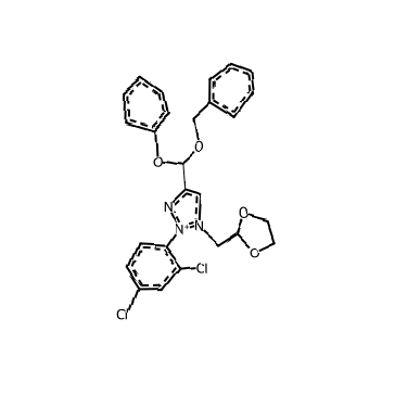 Clc1ccc(-[n+]2nc(C(OCc3ccccc3)Oc3ccccc3)cn2CC2OCCO2)c(Cl)c1